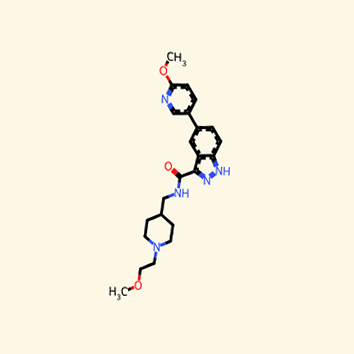 COCCN1CCC(CNC(=O)c2n[nH]c3ccc(-c4ccc(OC)nc4)cc23)CC1